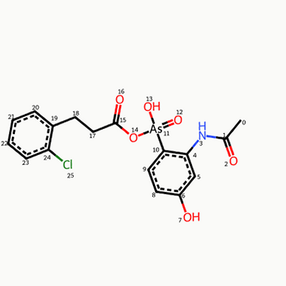 CC(=O)Nc1cc(O)ccc1[As](=O)(O)OC(=O)CCc1ccccc1Cl